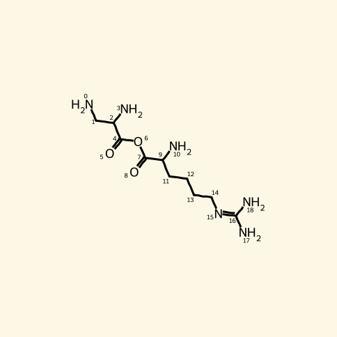 NCC(N)C(=O)OC(=O)C(N)CCCCN=C(N)N